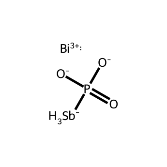 O=[P]([O-])([O-])[SbH3-].[Bi+3]